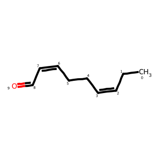 CC/C=C\CC/C=C\C=O